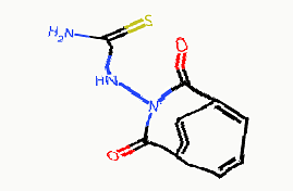 NC(=S)NN1C(=O)c2cccc(c2)C1=O